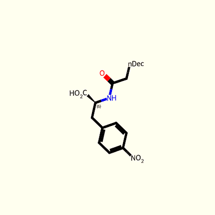 CCCCCCCCCCCC(=O)N[C@@H](Cc1ccc([N+](=O)[O-])cc1)C(=O)O